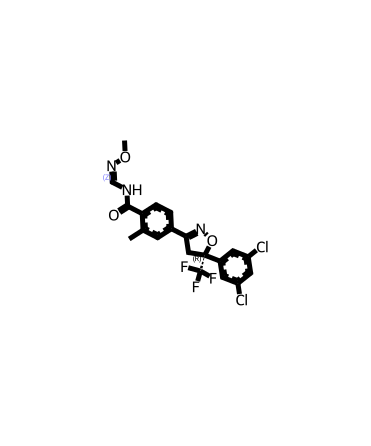 CO/N=C\NC(=O)c1ccc(C2=NO[C@](c3cc(Cl)cc(Cl)c3)(C(F)(F)F)C2)cc1C